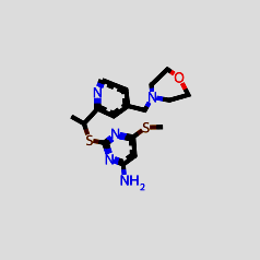 CSc1cc(N)nc(SC(C)c2cc(CN3CCOCC3)ccn2)n1